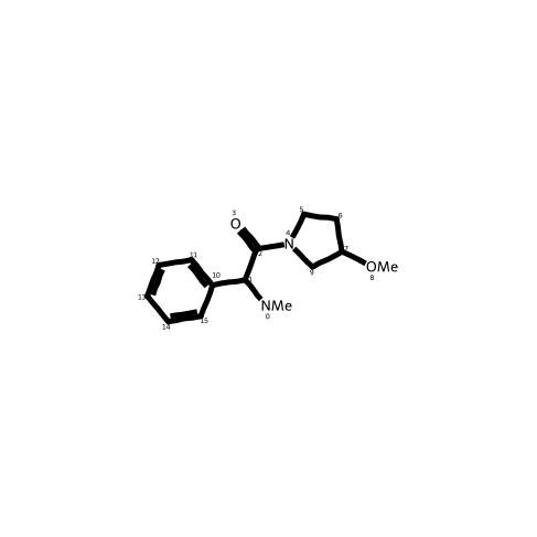 CNC(C(=O)N1CCC(OC)C1)c1ccccc1